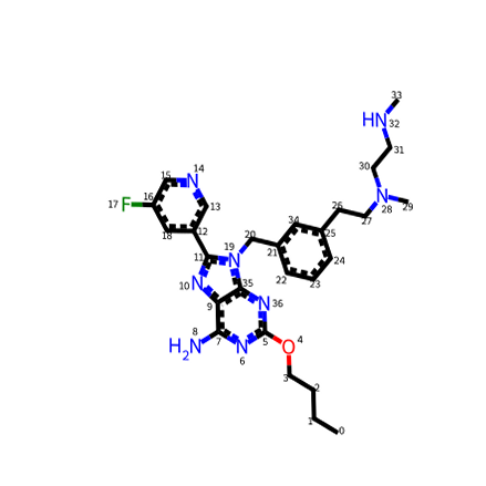 CCCCOc1nc(N)c2nc(-c3cncc(F)c3)n(Cc3cccc(CCN(C)CCNC)c3)c2n1